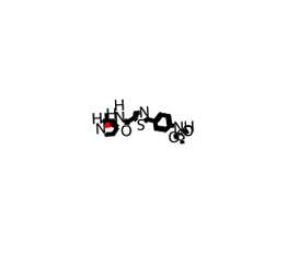 C[C@H]1[C@H](NC(=O)c2cnc(-c3ccc(NS(C)(=O)=O)cc3)s2)C2CCN1CC2